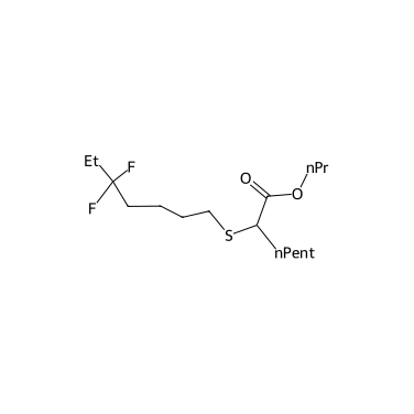 CCCCCC(SCCCCC(F)(F)CC)C(=O)OCCC